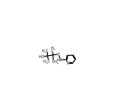 CC(C)(O)C(C)(C)OBc1ccccn1